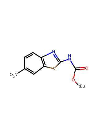 CC(C)(C)OC(=O)Nc1nc2ccc([N+](=O)[O-])cc2s1